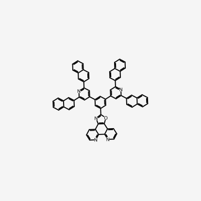 c1ccc2cc(-c3cc(-c4cc(-c5cc(-c6ccc7ccccc7c6)nc(-c6ccc7ccccc7c6)c5)cc(-c5nc6c7cccnc7c7ncccc7c6o5)c4)cc(-c4ccc5ccccc5c4)n3)ccc2c1